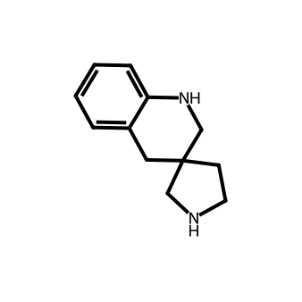 c1ccc2c(c1)CC1(CCNC1)CN2